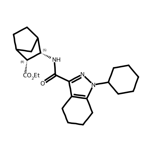 CCOC(=O)[C@@H]1C2CCC(C2)[C@@H]1NC(=O)c1nn(C2CCCCC2)c2c1CCCC2